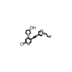 O[C@@H]1CCN(c2cc(Cl)ncc2C#Cc2cnn(CCF)c2)C1